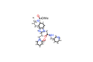 COC(=O)N1c2ccc3c(nc(CCn4ccccc4=O)n3CC(=O)NCc3cccnc3)c2CC[C@@H]1C